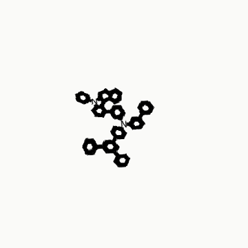 c1ccc(-c2cc(-c3ccccc3)cc(-c3ccc(N(c4cccc(-c5ccccc5)c4)c4cccc(-c5cccc6c5c5c7ccccc7ccc5n6-c5ccccc5)c4)cc3)c2)cc1